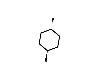 C[C@H]1C[CH][C@H](C)CC1